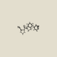 N#CN1CCCC1C(=O)N1CCc2c(-c3ccnnc3)cccc21